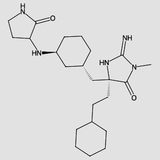 CN1C(=N)N[C@](CCC2CCCCC2)(C[C@H]2CCC[C@H](NC3CCNC3=O)C2)C1=O